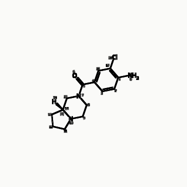 Nc1ccc(C(=O)N2CCN3CCC[C@@H]3C2)cc1Cl